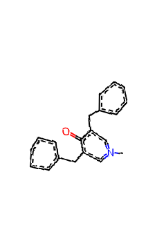 Cn1cc(Cc2ccccc2)c(=O)c(Cc2ccccc2)c1